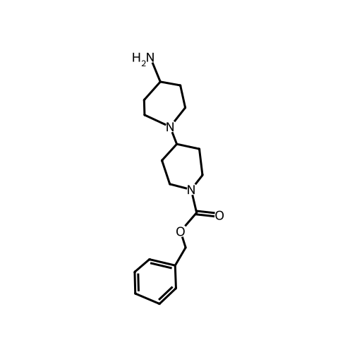 NC1CCN(C2CCN(C(=O)OCc3ccccc3)CC2)CC1